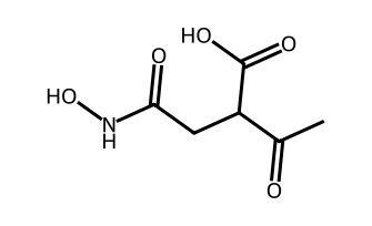 CC(=O)C(CC(=O)NO)C(=O)O